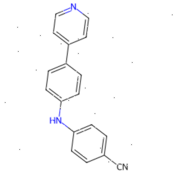 N#Cc1ccc(Nc2ccc(-c3ccncc3)cc2)cc1